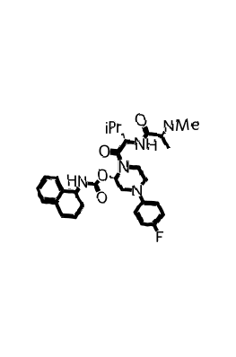 CN[C@@H](C)C(=O)N[C@H](C(=O)N1CCN(c2ccc(F)cc2)C[C@@H]1OC(=O)NC1CCCc2ccccc21)C(C)C